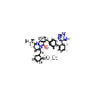 CCCc1c(Cc2ccc(-c3ccccc3-c3nnn[nH]3)cc2)c(=O)n2n1C(C)CCC2Cc1ccccc1C(=O)OCC